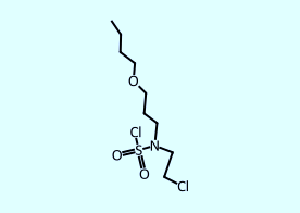 CCCCOCCCN(CCCl)S(=O)(=O)Cl